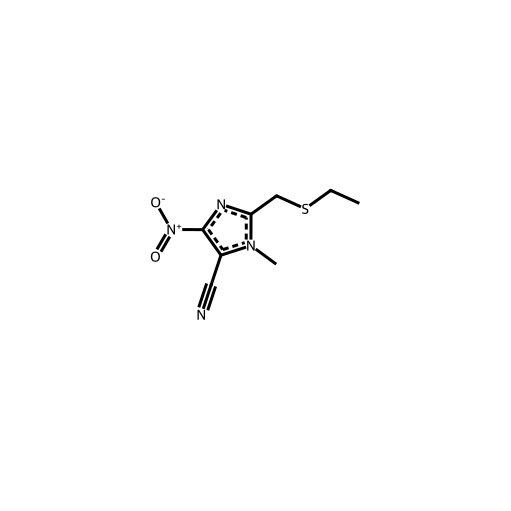 CCSCc1nc([N+](=O)[O-])c(C#N)n1C